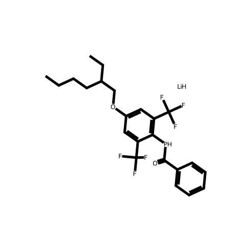 CCCCC(CC)COc1cc(C(F)(F)F)c(PC(=O)c2ccccc2)c(C(F)(F)F)c1.[LiH]